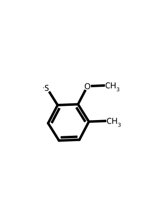 COc1c(C)cccc1[S]